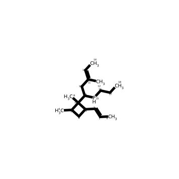 C/C=C/C1CC(C)C1(C)C(C/C(C)=C/C)PCCC